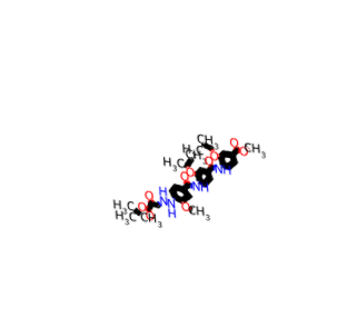 CCC(C)Oc1cc(C(=O)Nc2ccc(C(=O)OC)cc2OCC(C)C)ccc1NC(=O)c1ccc(NNCC(=O)C(=O)OC(C)(C)C)c(OC)c1